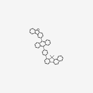 CC1(C)c2c(-c3ccc(-c4c5ccccc5c(-c5ccc6oc7ccccc7c6c5)c5ccccc45)cc3)cccc2-c2ccc3ccccc3c21